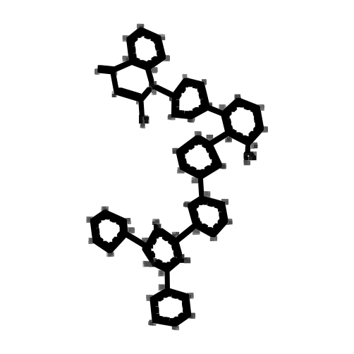 C=C1C=C(CC)N(c2ccc(-c3cccc(C#N)c3-c3cccc(-c4cccc(-c5nc(-c6ccccc6)nc(-c6ccccc6)n5)c4)c3)cc2)c2ccccc21